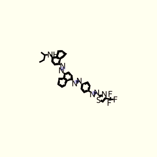 CCC(C)Nc1ccc(/N=N/c2ccc(/N=N/c3ccc(/N=N/c4nc(C(F)(F)F)cs4)cc3)c3ccccc23)c2ccccc12